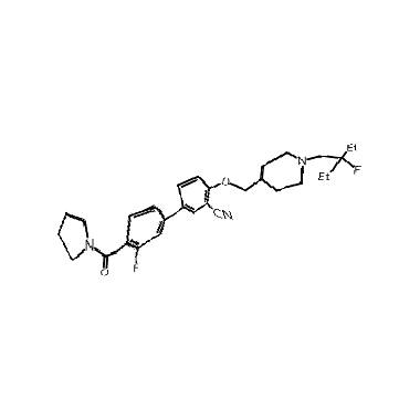 CCC(F)(CC)CN1CCC(COc2ccc(-c3ccc(C(=O)N4CCCC4)c(F)c3)cc2C#N)CC1